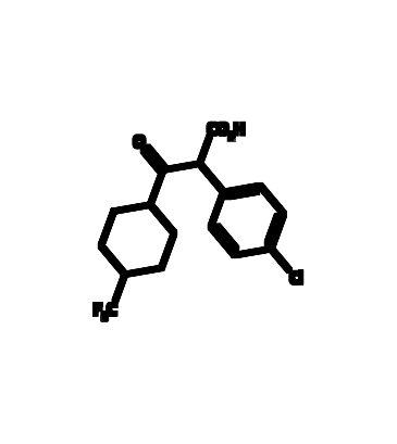 O=C(O)C(C(=O)C1CCC(C(F)(F)F)CC1)c1ccc(Cl)cc1